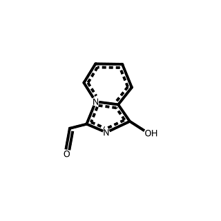 O=Cc1nc(O)c2ccccn12